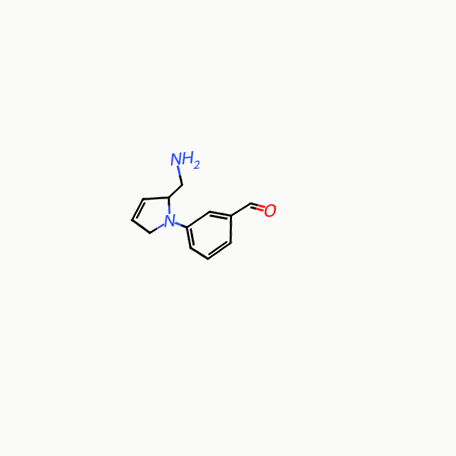 NCC1C=CCN1c1cccc(C=O)c1